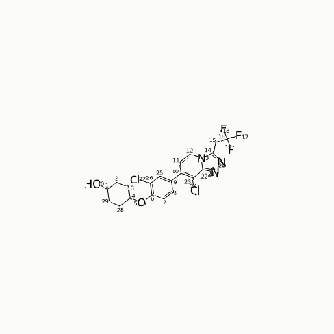 OC1CCC(Oc2ccc(-c3ccn4c(CC(F)(F)F)nnc4c3Cl)cc2Cl)CC1